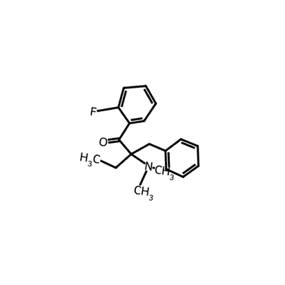 CCC(Cc1ccccc1)(C(=O)c1ccccc1F)N(C)C